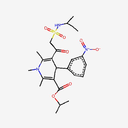 CC1=C(C(=O)CS(=O)(=O)NC(C)C)C(c2cccc([N+](=O)[O-])c2)C(C(=O)OC(C)C)=C(C)N1C